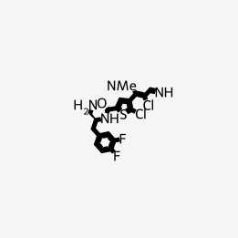 CN/C(=C(/Cl)C=N)c1cc(C(=O)N[C@H](CN)Cc2ccc(F)c(F)c2)sc1Cl